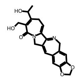 CC(O)C1=C(CO)C(=O)N2CC3=Cc4cc5c(cc4CN=C3C2=CC1)OCO5